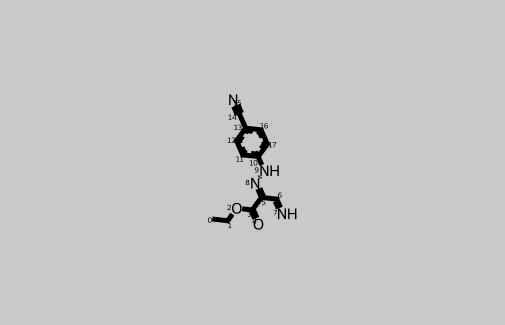 CCOC(=O)/C(C=N)=N/Nc1ccc(C#N)cc1